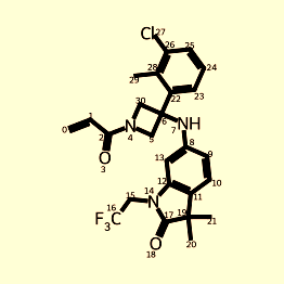 C=CC(=O)N1CC(Nc2ccc3c(c2)N(CC(F)(F)F)C(=O)C3(C)C)(c2cccc(Cl)c2C)C1